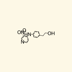 O=[N+]([O-])c1cnccc1Nc1ccc(CCO)cc1